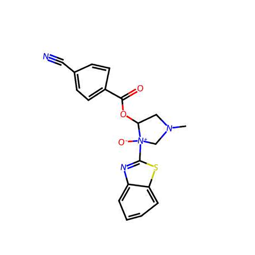 CN1CC(OC(=O)c2ccc(C#N)cc2)[N+]([O-])(c2nc3ccccc3s2)C1